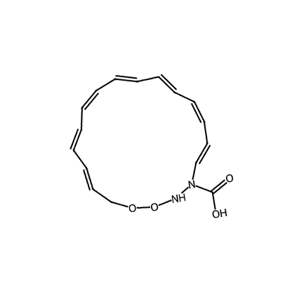 O=C(O)N1/C=C/C=C\C=C\C=C\C=C/C=C/C=C/COON1